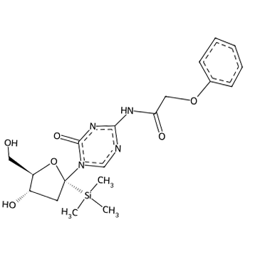 C[Si](C)(C)[C@]1(n2cnc(NC(=O)COc3ccccc3)nc2=O)C[C@H](O)[C@@H](CO)O1